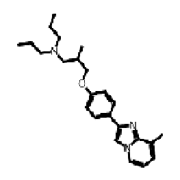 CCCN(CCC)CC(C)COc1ccc(-c2cn3cccc(C)c3n2)cc1